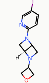 Ic1ccc(N2C[C@H]3C2CN3C2COC2)nc1